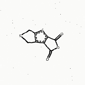 O=C1OC(=O)c2c1sc1c2CSC1